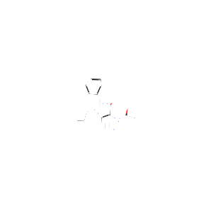 CCCn1c(C)c(NC(C)=O)c(=O)n1-c1ccccc1